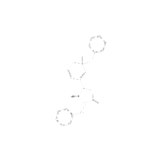 CC1(Oc2ccccc2)C=C(C2OC(=O)N(Nc3ccccc3)C2=O)C=CC1